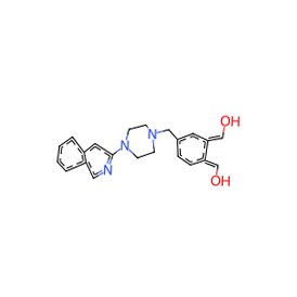 OC=c1ccc(CN2CCN(c3cc4ccccc4cn3)CC2)cc1=CO